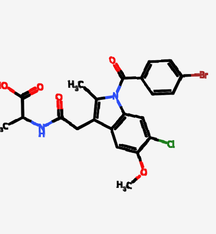 COc1cc2c(CC(=O)NC(C)C(=O)O)c(C)n(C(=O)c3ccc(Br)cc3)c2cc1Cl